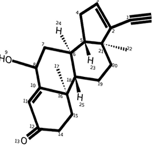 C#CC1=CC[C@H]2[C@@H]3CC(O)C4=CC(=O)CC[C@]4(C)[C@H]3CC[C@]12C